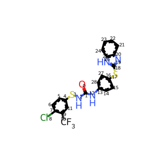 O=C(NSc1ccc(Cl)c(C(F)(F)F)c1)Nc1ccc(Sc2nc3ccccc3[nH]2)cc1